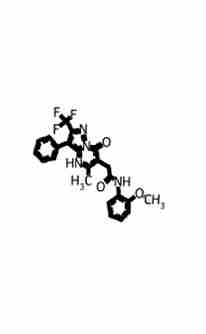 COc1ccccc1NC(=O)Cc1c(C)[nH]c2c(-c3ccccc3)c(C(F)(F)F)nn2c1=O